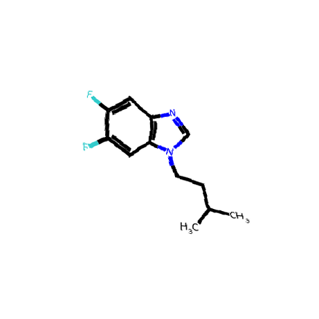 CC(C)CCn1cnc2cc(F)c(F)cc21